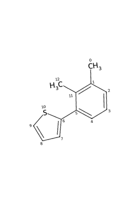 Cc1cccc(-c2cccs2)c1C